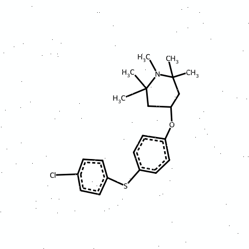 CN1C(C)(C)CC(Oc2ccc(Sc3ccc(Cl)cc3)cc2)CC1(C)C